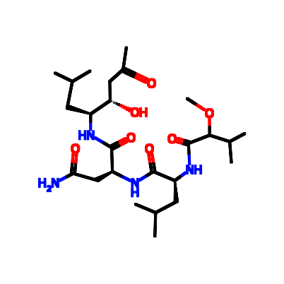 COC(C(=O)N[C@@H](CC(C)C)C(=O)N[C@@H](CC(N)=O)C(=O)N[C@@H](CC(C)C)[C@@H](O)CC(C)=O)C(C)C